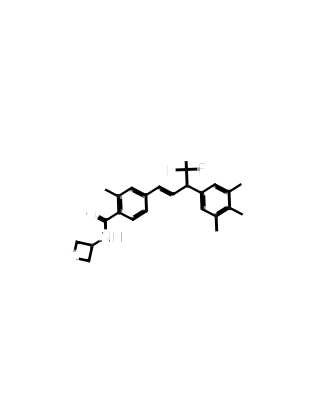 Cc1cc(/C=C/C(c2cc(C)c(C)c(C)c2)C(F)(F)F)ccc1C(=O)NC1CSC1